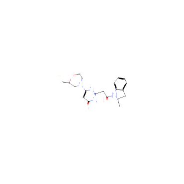 CC1Cc2ccccc2N1C(=O)Cc1nc(N2CCOC(CF)C2)cc(=O)[nH]1